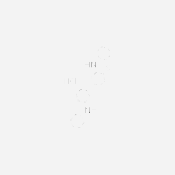 Cl.c1ccc2c(c1)Nc1cc(-c3ccc4c(c3)Nc3ccccc3S4)ccc1S2